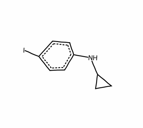 Ic1ccc(NC2CC2)cc1